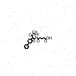 COC(=O)c1c(NC(=O)CCCC(=O)O)sc2c1CCC(c1ccccc1)C2